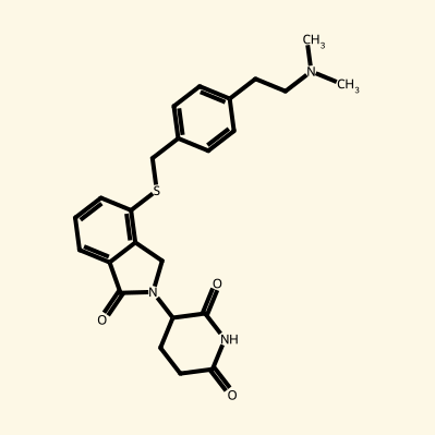 CN(C)CCc1ccc(CSc2cccc3c2CN(C2CCC(=O)NC2=O)C3=O)cc1